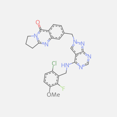 COc1ccc(Cl)c(CNc2ncnc3nn(Cc4ccc5c(=O)n6c(nc5c4)CCC6)cc23)c1F